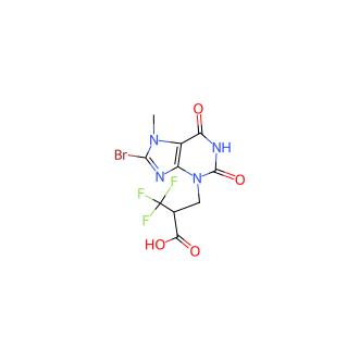 Cn1c(Br)nc2c1c(=O)[nH]c(=O)n2CC(C(=O)O)C(F)(F)F